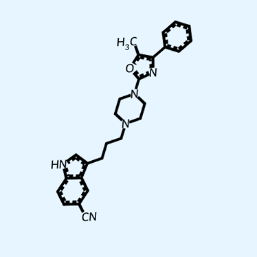 Cc1oc(N2CCN(CCCc3c[nH]c4ccc(C#N)cc34)CC2)nc1-c1ccccc1